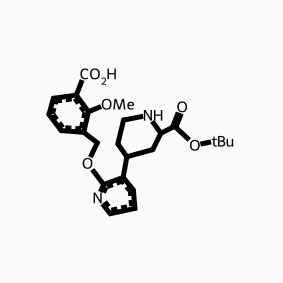 COc1c(COc2ncccc2C2CCNC(C(=O)OC(C)(C)C)C2)cccc1C(=O)O